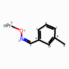 CCCO/N=[C]\c1cccc(C)c1